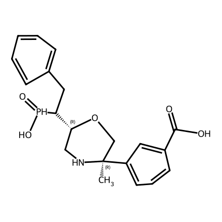 C[C@@]1(c2cccc(C(=O)O)c2)CO[C@@H](C(Cc2ccccc2)[PH](=O)O)CN1